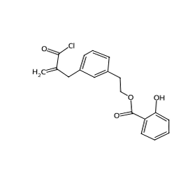 C=C(Cc1cccc(CCOC(=O)c2ccccc2O)c1)C(=O)Cl